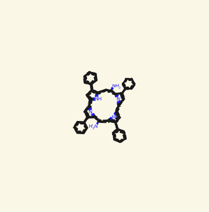 Nc1cc2[nH]c(cc2-c2ccccc2)c2nc(c(N)cc3[nH]c(cc3-c3ccccc3)c3nc1C(c1ccccc1)=C3)C(c1ccccc1)=C2